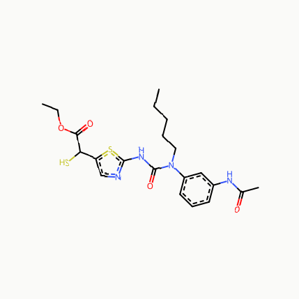 CCCCCN(C(=O)Nc1ncc(C(S)C(=O)OCC)s1)c1cccc(NC(C)=O)c1